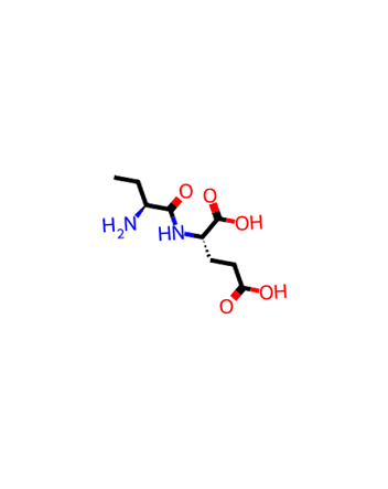 CC[C@H](N)C(=O)N[C@@H](CCC(=O)O)C(=O)O